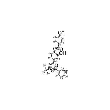 COc1ccc(C(=O)Oc2ccc(C(CNC(C)(C)C)OC(=O)c3cccnc3)cc2O)cc1